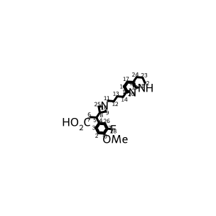 COc1ccc(C(CC(=O)O)C2CN(CCCCc3ccc4c(n3)NCCC4)C2)cc1F